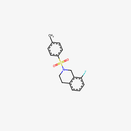 Cc1ccc(S(=O)(=O)N2CCc3cccc(F)c3C2)cc1